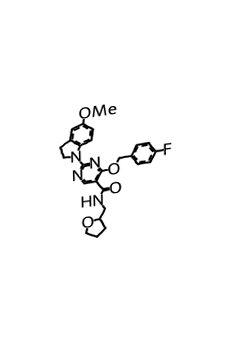 COc1ccc2c(c1)CCN2c1ncc(C(=O)NCC2CCCO2)c(OCc2ccc(F)cc2)n1